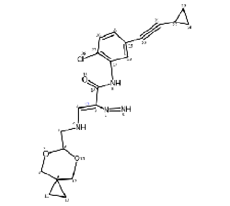 N=N/C(=C\NCC1OCC2(CC2)CO1)C(=O)Nc1cc(C#CC2CC2)ccc1Cl